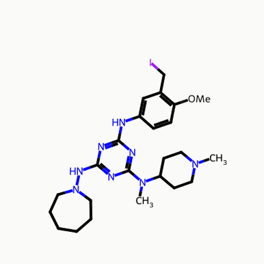 COc1ccc(Nc2nc(NN3CCCCCC3)nc(N(C)C3CCN(C)CC3)n2)cc1CI